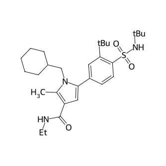 CCNC(=O)c1cc(-c2ccc(S(=O)(=O)NC(C)(C)C)c(C(C)(C)C)c2)n(CC2CCCCC2)c1C